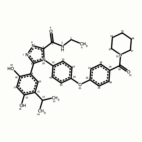 CCNC(=O)c1nnc(-c2cc(C(C)C)c(O)cc2O)n1-c1ccc(Oc2ccc(C(=O)N3CC[CH]CC3)cc2)cc1